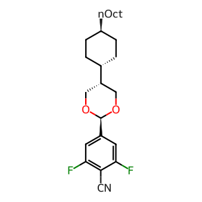 CCCCCCCC[C@H]1CC[C@H]([C@H]2CO[C@H](c3cc(F)c(C#N)c(F)c3)OC2)CC1